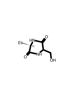 CC[C@@H]1NC(=O)C(CO)NC1=O